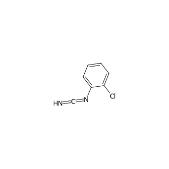 N=C=Nc1ccccc1Cl